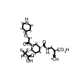 C#C[C@@H](CNC(=O)[C@@H]1CCCN(C(=O)COC2CCNCC2)C1)C(=O)O.O=C(O)C(F)(F)F